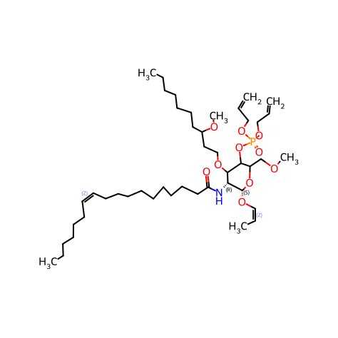 C=CCOP(=O)(OCC=C)OC1C(COC)O[C@H](O/C=C\C)[C@H](NC(=O)CCCCCCCCC/C=C\CCCCCC)C1OCCC(CCCCCCC)OC